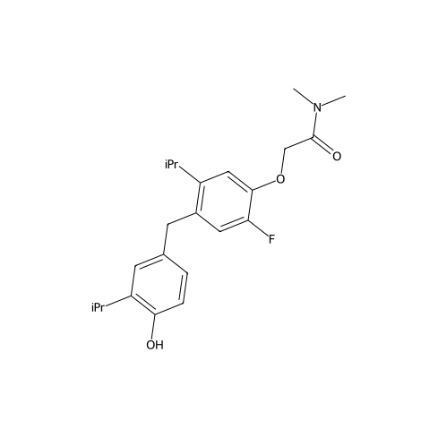 CC(C)c1cc(Cc2cc(F)c(OCC(=O)N(C)C)cc2C(C)C)ccc1O